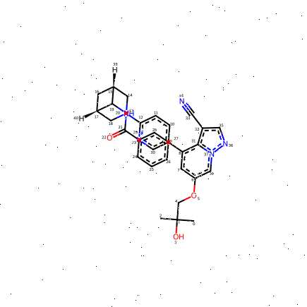 CC(C)(O)COc1cc(-c2ccc(N3C[C@H]4C[C@@H](C3)C4NC(=O)c3ccccc3)nc2)c2c(C#N)cnn2c1